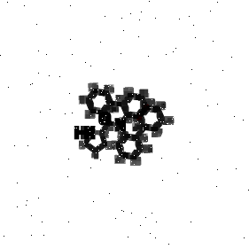 O=C(C1CCCN1)N(c1ccccc1-c1ccccc1)c1ccccc1-c1ccccc1